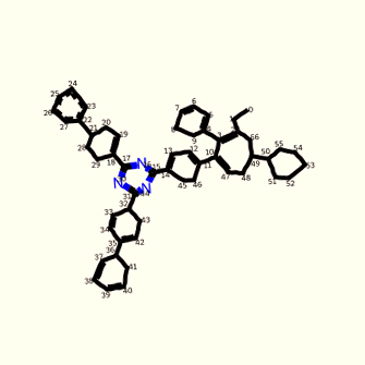 CCC1=C(C2=CC=CCC2)C(C2=CC=C(c3nc(C4=CCC(c5ccccc5)CC4)nc(C4C=CC(C5C=CC=CC5)=CC4)n3)CC2)=CCC(C2CCCCC2)C1